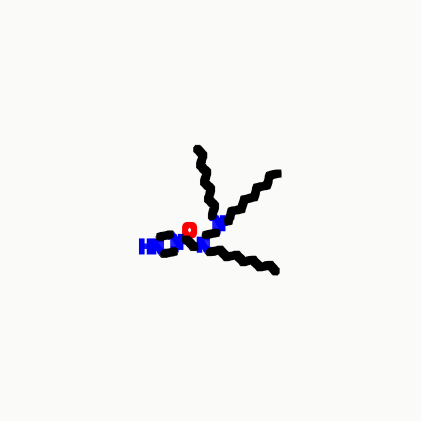 CCCCCCCCCN(CCCCCCCCC)CCN(CCCCCCCCC)CC(=O)N1CCNCC1